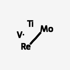 [Mo][Re].[Ti].[V]